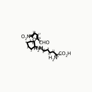 NC1CCCCC1.NCCCC[C@H](N)C(=O)O.O=Cc1ccc([N+](=O)[O-])o1